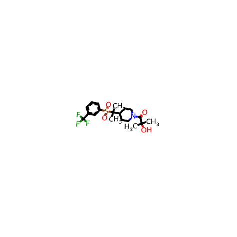 CC(C)(O)C(=O)N1CCC(C(C)(C)S(=O)(=O)c2cccc(C(F)(F)F)c2)CC1